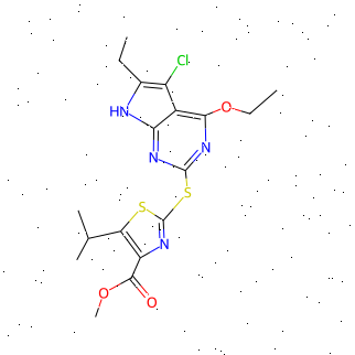 CCOc1nc(Sc2nc(C(=O)OC)c(C(C)C)s2)nc2[nH]c(CC)c(Cl)c12